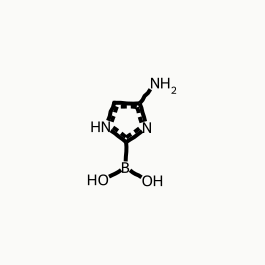 Nc1c[nH]c(B(O)O)n1